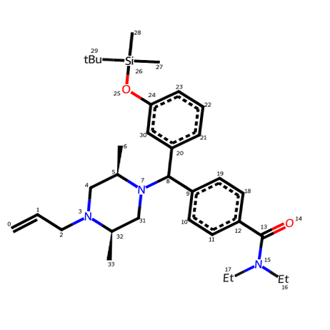 C=CCN1C[C@@H](C)N(C(c2ccc(C(=O)N(CC)CC)cc2)c2cccc(O[Si](C)(C)C(C)(C)C)c2)C[C@H]1C